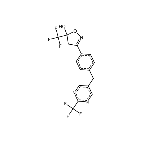 OC1(C(F)(F)F)CC(c2ccc(Cc3cnc(C(F)(F)F)nc3)cc2)=NO1